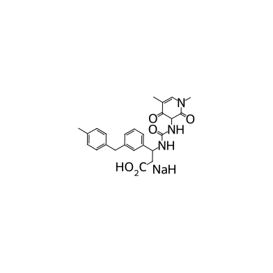 CC1=CN(C)C(=O)C(NC(=O)NC(CC(=O)O)c2cccc(Cc3ccc(C)cc3)c2)C1=O.[NaH]